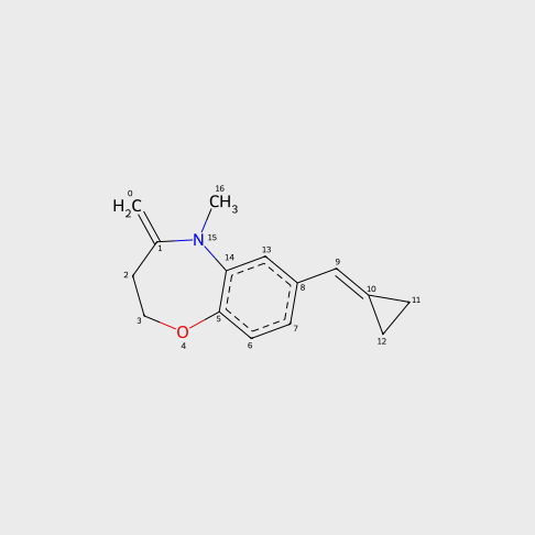 C=C1CCOc2ccc(C=C3CC3)cc2N1C